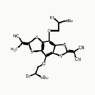 CCCCC(CC)COc1c2c(c(OCC(CC)CCCC)c3c1SC(=C(C#N)C#N)S3)SC(=C(C)C#N)S2